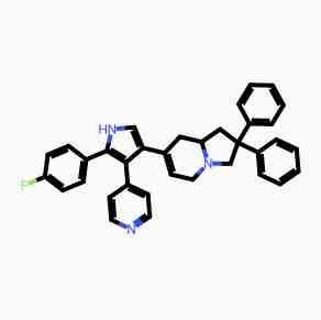 Fc1ccc(-c2[nH]cc(C3=CCN4CC(c5ccccc5)(c5ccccc5)CC4C3)c2-c2ccncc2)cc1